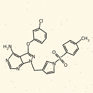 Cc1ccc(S(=O)(=O)n2ccc(Cn3nc(Oc4cccc(Cl)c4)c4c(N)ncnc43)c2)cc1